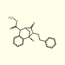 COC(=O)C1c2ccccc2[C@@H]2CN1C(=O)N2OCc1ccccc1